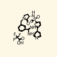 N=C(N)c1cccc(CN2CC[C@H](NS(=O)(=O)c3ccc(-c4ccncc4)s3)C2=O)c1.O=C(O)C(F)(F)F